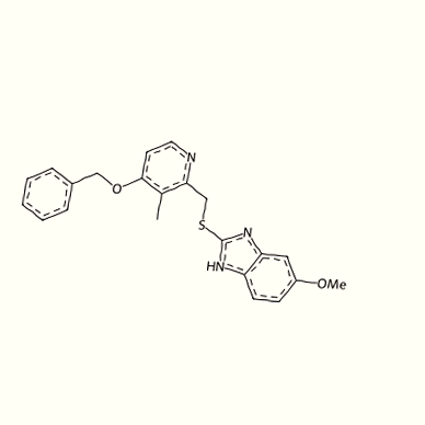 COc1ccc2[nH]c(SCc3nccc(OCc4ccccc4)c3C)nc2c1